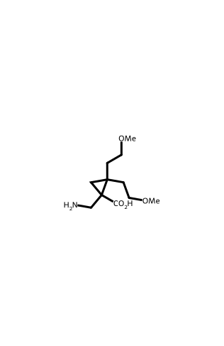 COCCC1(CCOC)CC1(CN)C(=O)O